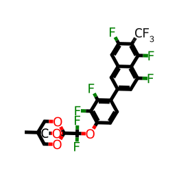 CC12COC(C(F)(F)Oc3ccc(-c4cc(F)c5c(F)c(C(F)(F)F)c(F)cc5c4)c(F)c3F)(OC1)OC2